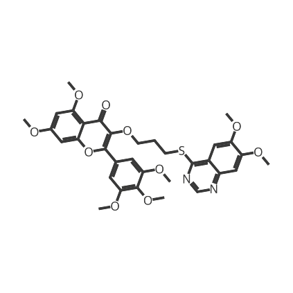 COc1cc(OC)c2c(=O)c(OCCCSc3ncnc4cc(OC)c(OC)cc34)c(-c3cc(OC)c(OC)c(OC)c3)oc2c1